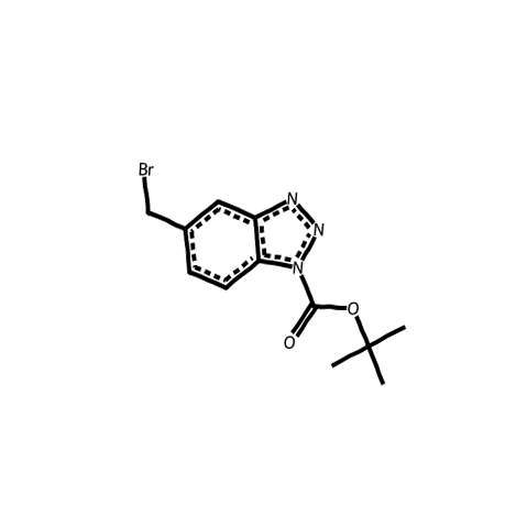 CC(C)(C)OC(=O)n1nnc2cc(CBr)ccc21